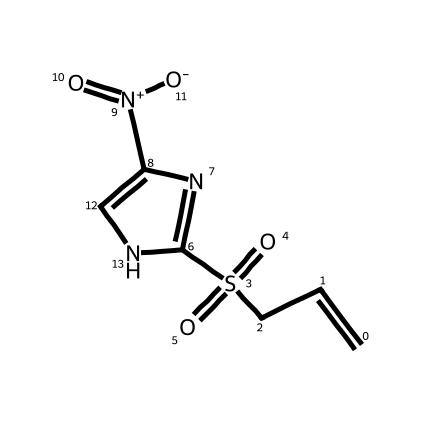 C=CCS(=O)(=O)c1nc([N+](=O)[O-])c[nH]1